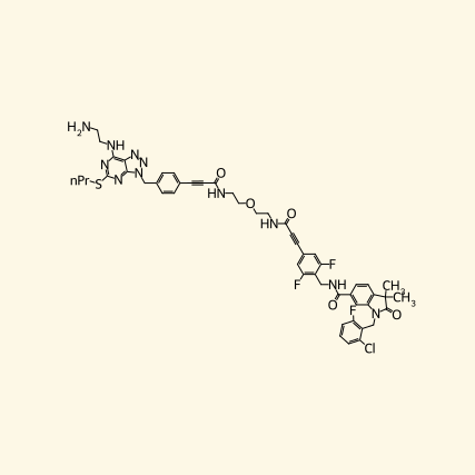 CCCSc1nc(NCCN)c2nnn(Cc3ccc(C#CC(=O)NCCOCCNC(=O)C#Cc4cc(F)c(CNC(=O)c5ccc6c(c5)N(Cc5c(F)cccc5Cl)C(=O)C6(C)C)c(F)c4)cc3)c2n1